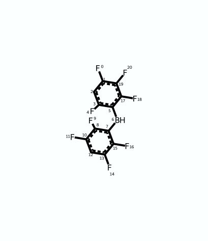 Fc1cc(F)c(Bc2c(F)c(F)cc(F)c2F)c(F)c1F